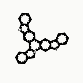 c1ccc2c(c1)cn1c3cc4sc5ccccc5c4cc3c3cc4c(cc3c21)oc1ccccc14